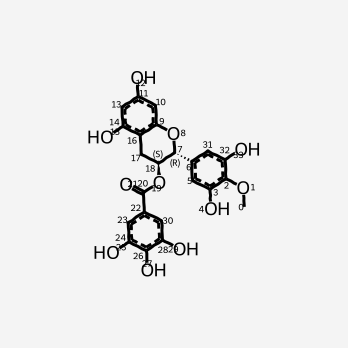 COc1c(O)cc([C@H]2Oc3cc(O)cc(O)c3C[C@@H]2OC(=O)c2cc(O)c(O)c(O)c2)cc1O